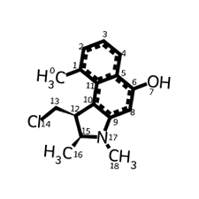 Cc1cccc2c(O)cc3c(c12)[C@H](CCl)[C@H](C)N3C